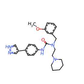 COc1cccc(CN(CCN2CCCCC2)C(=O)Nc2ccc(-c3cn[nH]c3)cc2)c1